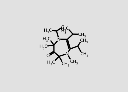 CC(C)C1=C(C(C)C)N(C(C)C)C(C)(C)C(=O)C(C)(C)N1C